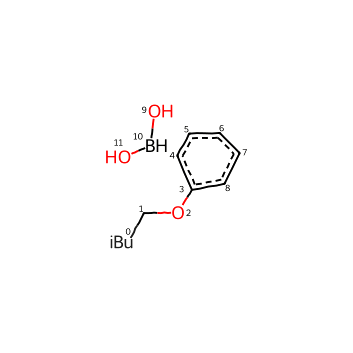 CCC(C)COc1ccccc1.OBO